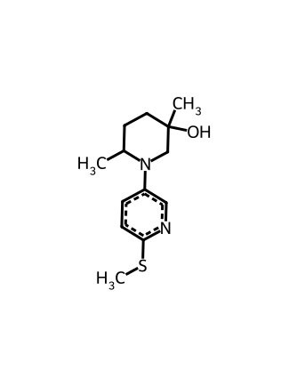 CSc1ccc(N2CC(C)(O)CCC2C)cn1